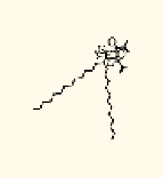 C=C(C)C(=O)[O][Ti](=[O])([O]C(=O)C(=C)C)([CH](C)C)[CH](CCCCCCCCCCCC)CCCCCCCCCCCCC